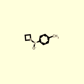 Cc1ccc([S+]([O-])N2CCC2)cc1